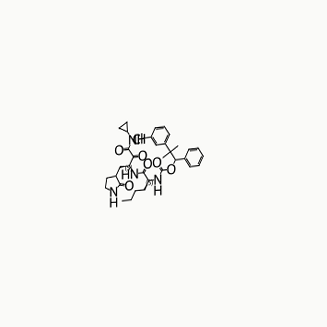 CCCC[C@H](NC(=O)OC(c1ccccc1)C(C)(C)c1cccc(Cl)c1)C(=O)N[C@@H](CC1CCNC1=O)C(=O)C(=O)NC1CC1